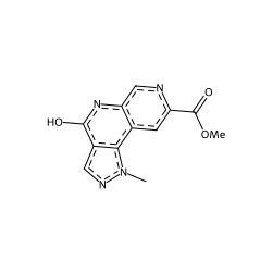 COC(=O)c1cc2c(cn1)nc(O)c1cnn(C)c12